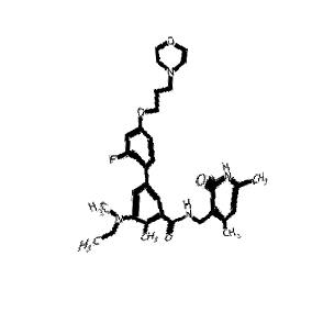 CCN(C)c1cc(-c2ccc(OCCCN3CCOCC3)cc2F)cc(C(=O)NCc2c(C)cc(C)[nH]c2=O)c1C